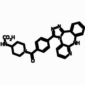 O=C(O)NC1CCN(C(=O)c2ccc(-c3nnc4n3-c3cccnc3Nc3ccccc3-4)cc2)CC1